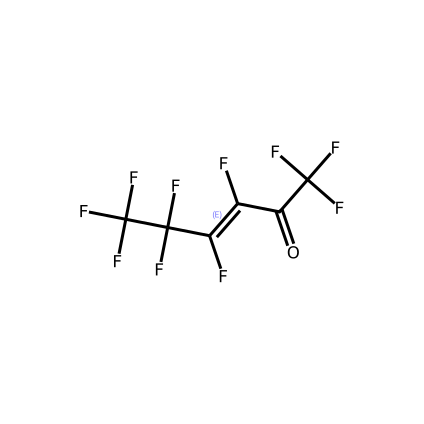 O=C(/C(F)=C(\F)C(F)(F)C(F)(F)F)C(F)(F)F